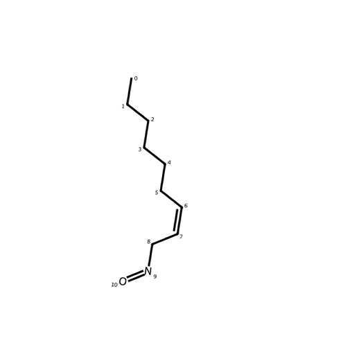 CCCCCC/C=C\CN=O